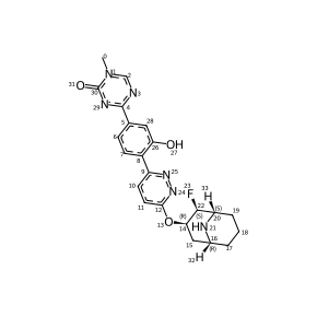 Cn1cnc(-c2ccc(-c3ccc(O[C@@H]4C[C@H]5CCC[C@H](N5)[C@@H]4F)nn3)c(O)c2)nc1=O